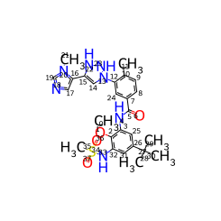 COc1c(NC(=O)c2ccc(C)c(N3C=C(c4cncn4C)NN3)c2)cc(C(C)(C)C)cc1NS(C)(=O)=O